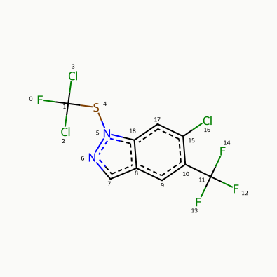 FC(Cl)(Cl)Sn1ncc2cc(C(F)(F)F)c(Cl)cc21